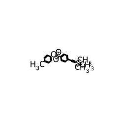 Cc1ccc(OS(=O)(=O)c2ccc(C#C[Si](C)(C)C)cc2)cc1